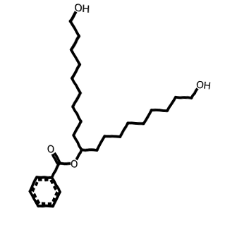 O=C(OC(CCCCCCCCCO)CCCCCCCCCO)c1ccccc1